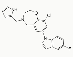 Fc1ccc2c(ccn2-c2cc(Cl)c3c(c2)CN(Cc2ccc[nH]2)CCO3)c1